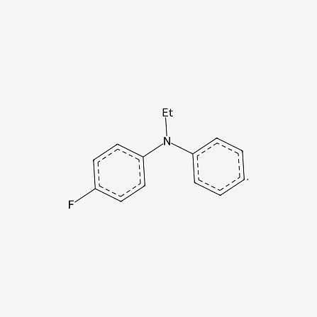 CCN(c1cc[c]cc1)c1ccc(F)cc1